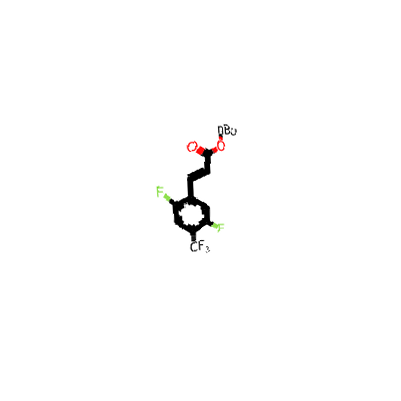 CCCCOC(=O)/C=C/c1cc(F)c(C(F)(F)F)cc1F